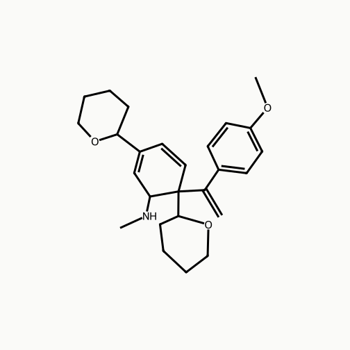 C=C(c1ccc(OC)cc1)C1(C2CCCCO2)C=CC(C2CCCCO2)=CC1NC